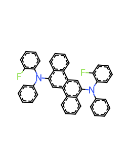 Fc1ccccc1N(c1ccccc1)c1cc2c3ccccc3c(N(c3ccccc3)c3ccccc3F)cc2c2ccccc12